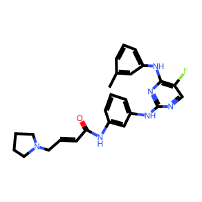 Cc1cccc(Nc2nc(Nc3cccc(NC(=O)/C=C/CN4CCCC4)c3)ncc2F)c1